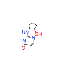 Cn1c(N[C@@H]2CCC[C@H]2O)nccc1=O